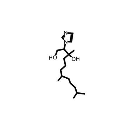 CC(C)CCCC(C)CCCC(C)(O)C(CO)n1ccnc1